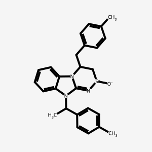 Cc1ccc(CC2C[S+]([O-])N=C3N2c2ccccc2N3C(C)c2ccc(C)cc2)cc1